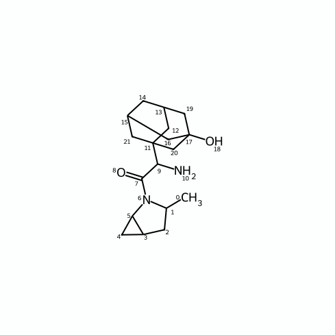 CC1CC2CC2N1C(=O)C(N)C12CC3CC(CC(O)(C3)C1)C2